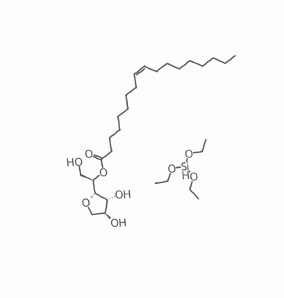 CCCCCCCC/C=C\CCCCCCCC(=O)O[C@H](CO)[C@H]1OC[C@H](O)[C@H]1O.CCO[SiH](OCC)OCC